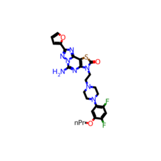 CCCOc1cc(N2CCN(CCn3c(=O)sc4c3nc(N)n3nc(-c5ccco5)nc43)CC2)c(F)cc1F